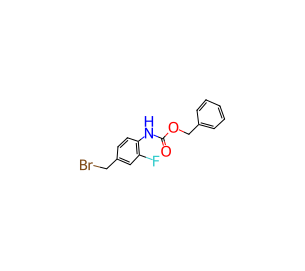 O=C(Nc1ccc(CBr)cc1F)OCc1ccccc1